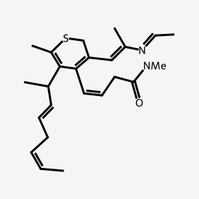 C/C=C\CC=CC(C)C1=C(C)SCC(/C=C(C)/N=C/C)=C1/C=C\CC(=O)NC